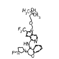 C[Si](C)(C)CCOCn1c(C(F)(F)F)cc2c(N[C@H]3c4ccccc4OC[C@@H]3N3CC[C@H](F)C3)nccc21